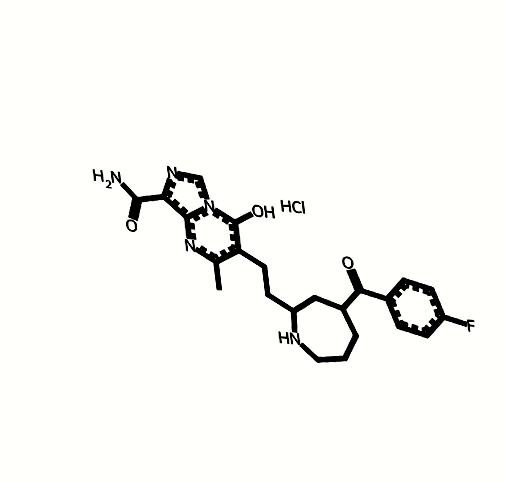 Cc1nc2c(C(N)=O)ncn2c(O)c1CCC1CC(C(=O)c2ccc(F)cc2)CCCN1.Cl